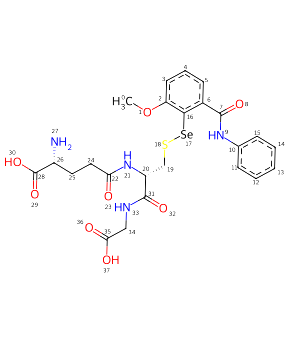 COc1cccc(C(=O)Nc2ccccc2)c1[Se]SC[C@@H](NC(=O)CC[C@@H](N)C(=O)O)C(=O)NCC(=O)O